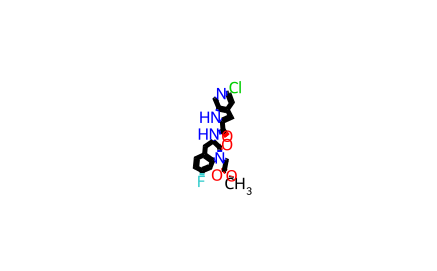 COC(=O)CN1C(=O)C(NC(=O)c2cc3cc(Cl)ncc3[nH]2)Cc2ccc(F)cc21